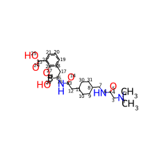 CN(C)CC(=O)NCC1CCC(CC(=O)N[C@H]2Cc3cccc(C(=O)O)c3OB2O)CC1